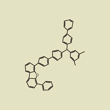 Cc1cc(C)cc(N(c2ccc(-c3ccccc3)cc2)c2ccc(-c3ccc(-c4cccc5c4oc4c(-c6ccccc6)cccc45)cc3)cc2)c1